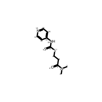 CN(C)C(=O)CCSC(=S)Nc1ccncc1